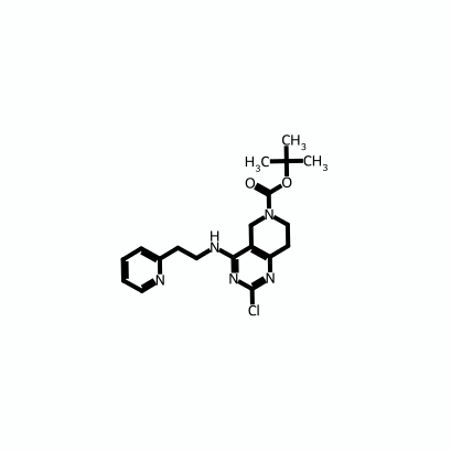 CC(C)(C)OC(=O)N1CCc2nc(Cl)nc(NCCc3ccccn3)c2C1